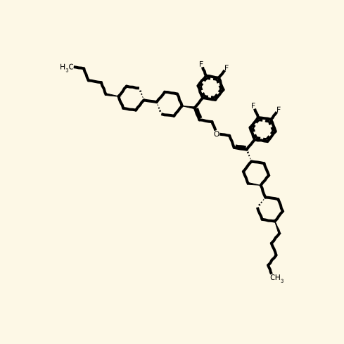 CCCCC[C@H]1CC[C@H]([C@H]2CC[C@H](C(=CCOCC=C(c3ccc(F)c(F)c3)[C@H]3CC[C@H]([C@H]4CC[C@H](CCCCC)CC4)CC3)c3ccc(F)c(F)c3)CC2)CC1